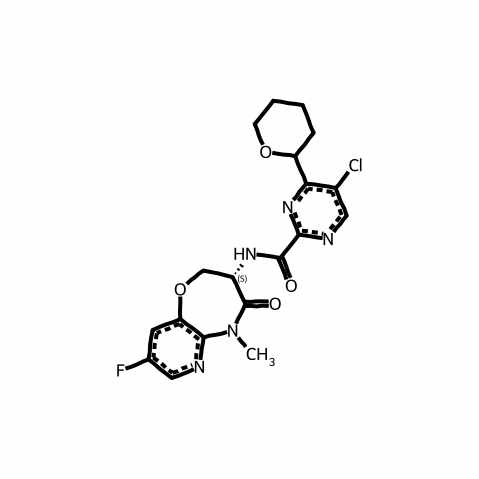 CN1C(=O)[C@@H](NC(=O)c2ncc(Cl)c(C3CCCCO3)n2)COc2cc(F)cnc21